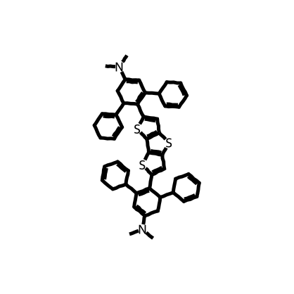 CN(C)C1=CC(C2C=CC=CC2)=C(c2cc3sc4cc(C5=C(C6C=CC=CC6)C=C(N(C)C)CC5C5C=CC=CC5)sc4c3s2)C(C2=CCCC=C2)C1